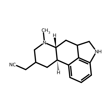 CN1CC(CC#N)C[C@@H]2c3cccc4c3C(CN4)C[C@H]21